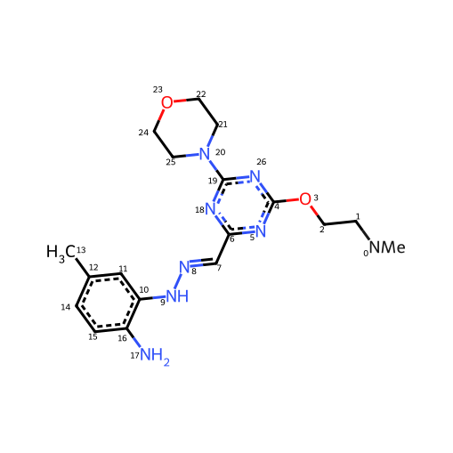 CNCCOc1nc(C=NNc2cc(C)ccc2N)nc(N2CCOCC2)n1